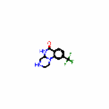 O=C1NC2CNCCN2c2cc(C(F)(F)F)ccc21